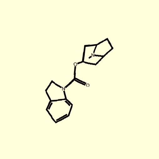 CN1C2CCC1CC(OC(=O)N1CCc3ccccc31)C2